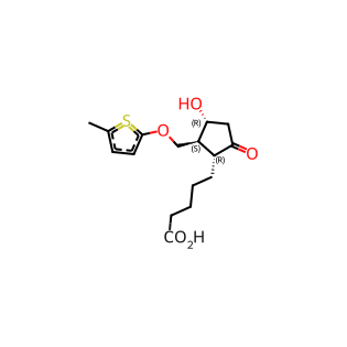 Cc1ccc(OC[C@H]2[C@H](O)CC(=O)[C@@H]2CCCCC(=O)O)s1